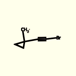 [CH2]C1(C#CBr)CC1